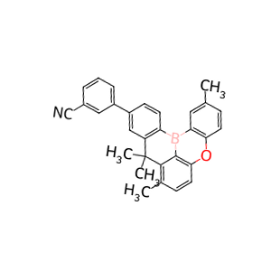 Cc1ccc2c(c1)B1c3ccc(-c4cccc(C#N)c4)cc3C(C)(C)c3c(C)ccc(c31)O2